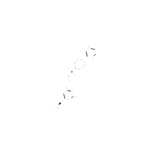 Cc1cnc(N2CCC(C(C)(C)CCOc3cc(C#N)nc(C)n3)CC2)cn1